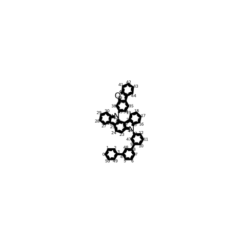 c1ccc(-c2cccc(-c3cccc(-n4c5ccccc5c5c4ccc4c6ccccc6n(-c6ccc7c(c6)oc6ccccc67)c45)c3)c2)cc1